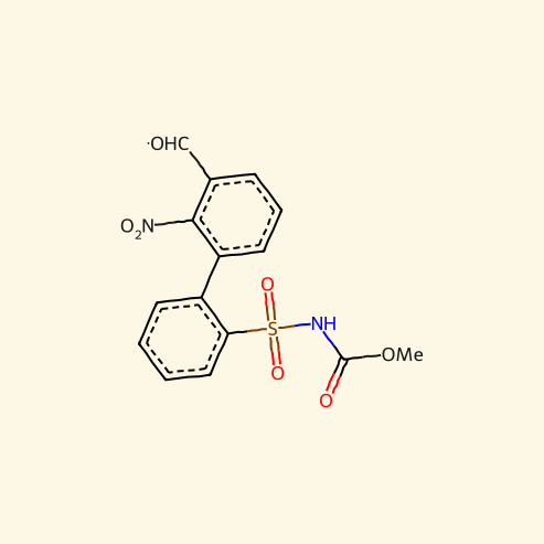 COC(=O)NS(=O)(=O)c1ccccc1-c1cccc([C]=O)c1[N+](=O)[O-]